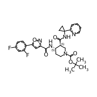 CC(C)(C)OC(=O)N1CC[C@H](NC(=O)c2cc(-c3ccc(F)cc3F)on2)[C@@H](C(=O)NC2(c3ccccn3)CC2)C1